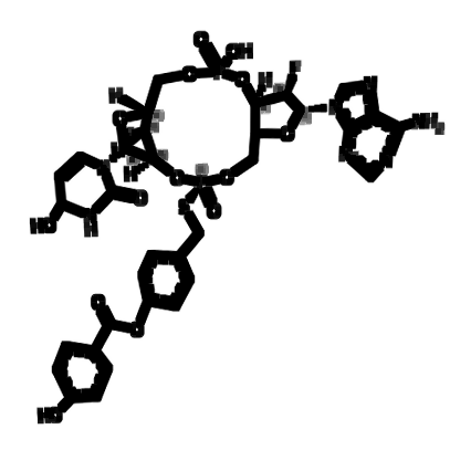 Nc1ncnc2c1ncn2[C@@H]1OC2CO[P@@](=O)(SCc3ccc(OC(=O)c4ccc(O)cc4)cc3)O[C@@H]3[C@H](F)[C@@H](COP(=O)(O)O[C@H]2[C@H]1F)O[C@H]3N1C=CC(O)NC1=O